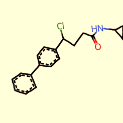 O=C(CCC(Cl)c1ccc(-c2ccccc2)cc1)NC1CC1